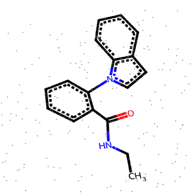 CCNC(=O)c1ccccc1-n1ccc2ccccc21